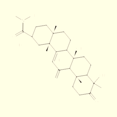 CN(O)C(=O)[C@@]1(C)CC[C@]2(C)CC[C@]3(C)C(=CC(=O)[C@@H]4[C@@]5(C)CCC(=O)C(C)(C)C5CC[C@]43C)[C@@H]2C1